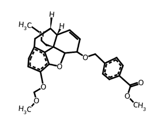 COCOc1ccc2c3c1OC1C(OCc4ccc(C(=O)OC)cc4)C=C[C@H]4[C@@H](C2)N(C)CC[C@]314